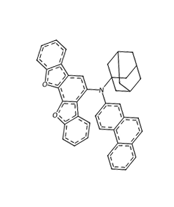 c1ccc2c(c1)ccc1cc(N(c3cc4c5ccccc5oc4c4oc5ccccc5c34)C34CC5CC(CC(C5)C3)C4)ccc12